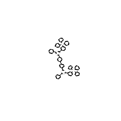 c1ccc(-c2nc(-c3ccc(-c4ccc(-c5nc(-c6ccccc6)nc(-c6cccc([Si](c7ccccc7)(c7ccccc7)c7ccccc7)c6)n5)cc4)cc3)nc(-c3cccc([Si](c4ccccc4)(c4ccccc4)c4ccccc4)c3)n2)cc1